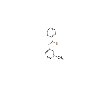 Cc1cccc(CC(Br)c2ccccc2)c1